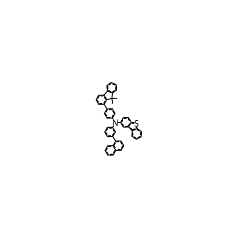 CC1(C)c2ccccc2-c2cccc(-c3ccc(N(c4cccc(-c5cccc6ccccc56)c4)c4ccc5sc6ccccc6c5c4)cc3)c21